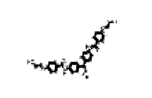 CON=C(c1ccc(NC(=O)c2ccc(OCCO)cc2)cc1)c1ccc(NC(=O)c2ccc(OCCO)cc2)cc1